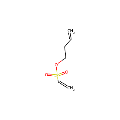 C=CCCOS(=O)(=O)C=C